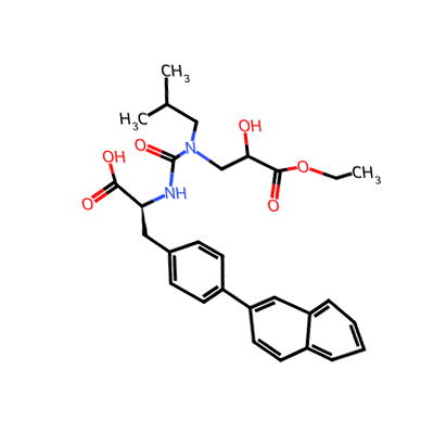 CCOC(=O)C(O)CN(CC(C)C)C(=O)N[C@@H](Cc1ccc(-c2ccc3ccccc3c2)cc1)C(=O)O